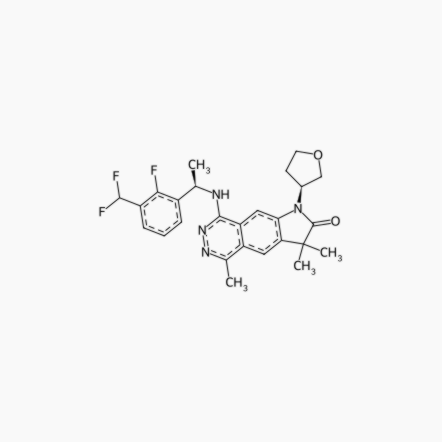 Cc1nnc(N[C@H](C)c2cccc(C(F)F)c2F)c2cc3c(cc12)C(C)(C)C(=O)N3[C@H]1CCOC1